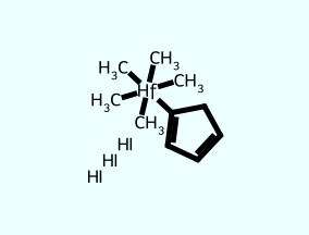 I.I.I.[CH3][Hf]([CH3])([CH3])([CH3])([CH3])[C]1=CC=CC1